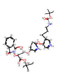 CC(C)(C)OC(=O)NCCCc1cnccc1Oc1ccc(OCC(ON2C(=O)c3ccccc3C2=O)C(=O)OC(C)(C)C)cn1